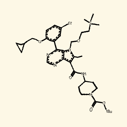 CCc1ccc(OCC2CC2)c(-c2ncnc3c(C(=O)NC4CCN(C(=O)OC(C)(C)C)CC4)c(C)n(COCC[Si](C)(C)C)c23)c1